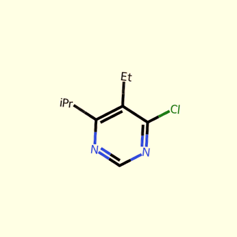 CCc1c(Cl)ncnc1C(C)C